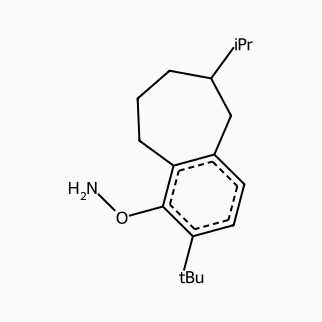 CC(C)C1CCCc2c(ccc(C(C)(C)C)c2ON)C1